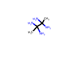 CC(N)(N)C(C)(N)N